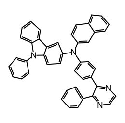 c1ccc(-c2nccnc2-c2ccc(N(c3ccc4ccccc4c3)c3ccc4c(c3)c3ccccc3n4-c3ccccc3)cc2)cc1